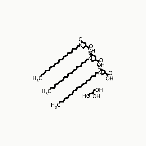 CCCCCCCCC=CCCCCCCCCN1CC(C(=O)O)CC1=O.CCCCCCCCC=CCCCCCCCCN1CC(C(=O)O)CC1=O.CCCCCCCCC=CCCCCCCCCN1CC(C(=O)O)CC1=O.OCC(O)CO